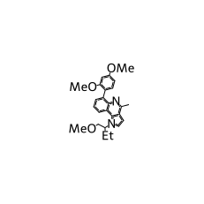 CCC(COC)n1ccc2c(C)nc3c(-c4ccc(OC)cc4OC)cccc3c21